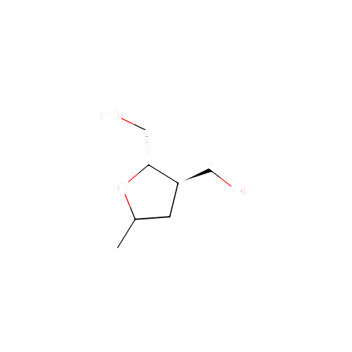 CC1C[C@H](CO)[C@@H](CO)O1